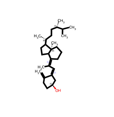 C=C1CC[C@H](O)C/C1=C/C(C)=C1\CCC[C@@]2(C)C1CCC2[C@H](C)CC[C@H](C)C(C)C